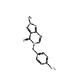 CCCn1cc2c(=O)n(Cc3ccc(C)cc3)cnc2n1